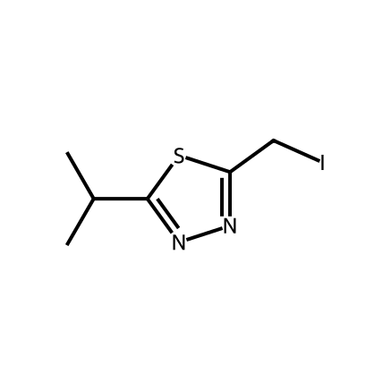 CC(C)c1nnc(CI)s1